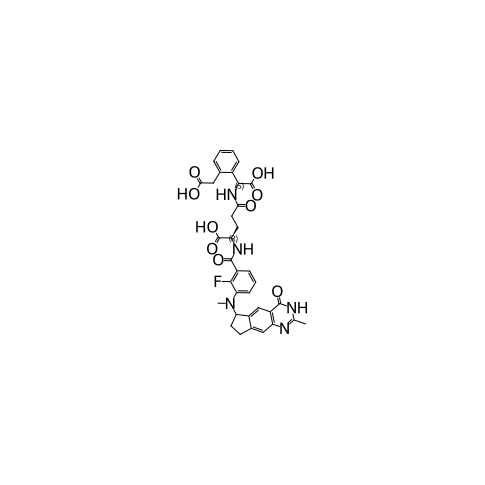 Cc1nc2cc3c(cc2c(=O)[nH]1)C(N(C)c1cccc(C(=O)N[C@H](CCC(=O)N[C@H](C(=O)O)c2ccccc2CC(=O)O)C(=O)O)c1F)CC3